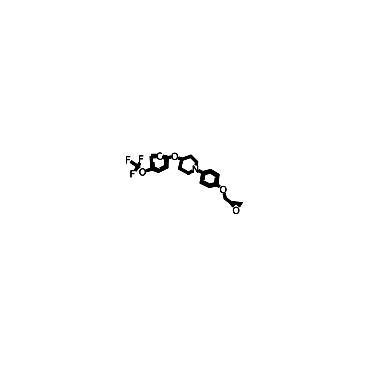 FC(F)(F)Oc1ccc(OC2CCN(c3ccc(OCC4CO4)cc3)CC2)cc1